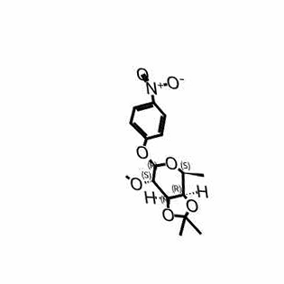 CO[C@@H]1[C@@H](Oc2ccc([N+](=O)[O-])cc2)O[C@@H](C)[C@H]2OC(C)(C)O[C@@H]12